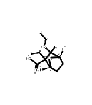 CCOC1(C)[C@@H]2CC[C@@H](O2)C1(CC)C(=O)O